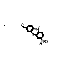 CN1c2ccc(C=O)cc2Sc2cc([N+](=O)[O-])ccc21